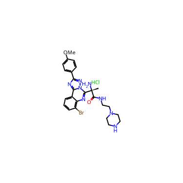 COc1ccc(-c2nc3c4cccc(Br)c4nc([C@](C)(N)C(=O)NCCN4CCNCC4)n3n2)cc1.Cl